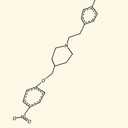 O=[N+]([O-])c1ccc(OCC2CCN(CCc3ccc(Cl)cc3)CC2)cc1